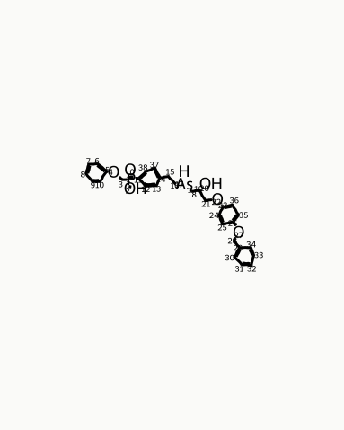 O=P(O)(COc1ccccc1)c1ccc(CC[AsH]C[C@@H](O)COc2ccc(OCc3ccccc3)cc2)cc1